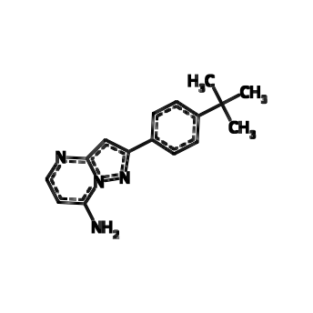 CC(C)(C)c1ccc(-c2cc3nccc(N)n3n2)cc1